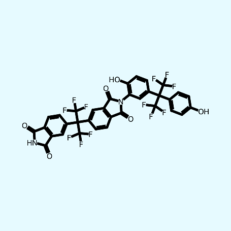 O=C1NC(=O)c2cc(C(c3ccc4c(c3)C(=O)N(c3cc(C(c5ccc(O)cc5)(C(F)(F)F)C(F)(F)F)ccc3O)C4=O)(C(F)(F)F)C(F)(F)F)ccc21